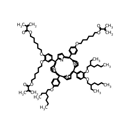 C=C(C)C(=O)OCCCCCCOc1ccc(-c2c3nc(c(-c4ccc(OCCCCCCOC(=O)C(=C)C)c(OCCCCCCOC(=O)C(=C)C)c4)c4ccc([nH]4)c(-c4ccc(OCC(CC)CCCC)cc4)c4nc(c(-c5ccc(OCC(CC)CCCC)c(OCC(CC)CCCC)c5)c5ccc2[nH]5)C=C4)C=C3)cc1